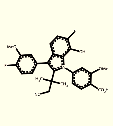 COc1cc(-c2c(C(C)(C)CC#N)n(-c3ccc(C(=O)O)c(OC)c3)c3c(O)c(F)ccc23)ccc1F